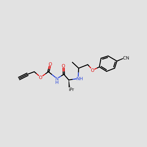 C#CCOC(=O)NC(=O)[C@@H](NC(C)COc1ccc(C#N)cc1)C(C)C